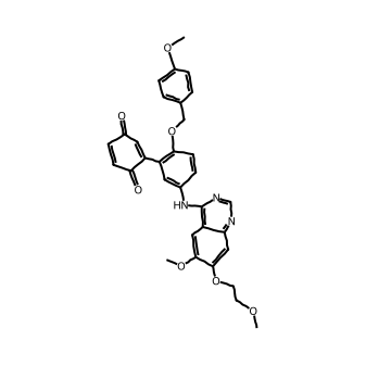 COCCOc1cc2ncnc(Nc3ccc(OCc4ccc(OC)cc4)c(C4=CC(=O)C=CC4=O)c3)c2cc1OC